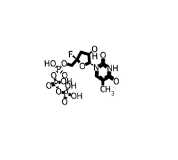 Cc1cn([C@@H]2O[C@](F)(COP(=O)(O)OP(=O)(O)OP(=O)(O)O)C[C@H]2O)c(=O)[nH]c1=O